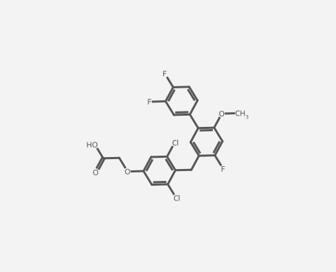 COc1cc(F)c(Cc2c(Cl)cc(OCC(=O)O)cc2Cl)cc1-c1ccc(F)c(F)c1